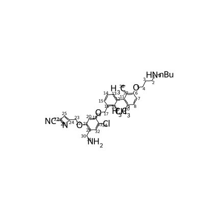 CCCCNCCCOc1ccc(C)c(-c2cccc(COc3cc(OCC4=CC(C#N)=N4)c(CN)cc3Cl)c2C)c1C